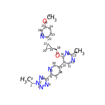 CCn1nnc(-c2ccc(-c3cnc(C)nc3OC[C@H]3C[C@@H]3c3ccc(OC)cn3)cn2)n1